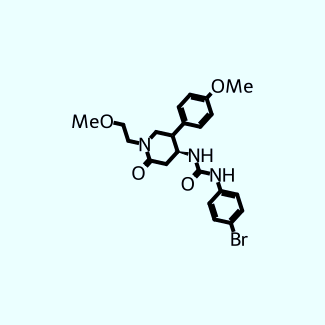 COCCN1CC(c2ccc(OC)cc2)[C@@H](NC(=O)Nc2ccc(Br)cc2)CC1=O